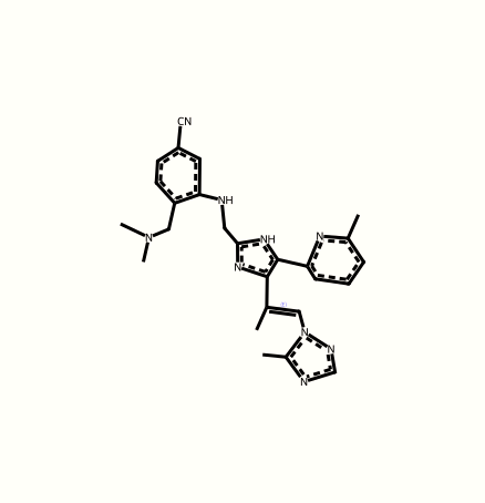 C/C(=C\n1ncnc1C)c1nc(CNc2cc(C#N)ccc2CN(C)C)[nH]c1-c1cccc(C)n1